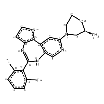 C[C@H]1CN(c2cc3c(cn2)NC(c2c(F)cccc2F)=Nc2ccnn2-3)CCO1